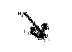 COCCOCCOCCOCCOCCOCCOCCOCCC(=O)N[C@@H](CCCCNC(=O)CN1C(=O)C=CC1=O)C(=O)N[C@H](C(=O)N[C@@H](C)C(=O)Nc1ccc(COC(=O)N(C)Cc2ccccc2C(N)=O)cc1)C(C)C